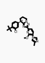 COc1nc(-c2nc3n(n2)CCC[C@@H]3c2ccc(C(C)(C)C)c(Cl)c2)ccc1-n1cnc(C)c1